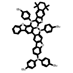 CC(C)(C)c1ccc(N2B3c4sc5cc6c(cc5c4N(c4ccc(C(C)(C)C)cc4)c4c3c(cc3c4oc4ccccc43)-c3cc4c(cc32)oc2cc(N(c3ccc(C(C)(C)C)cc3)c3ccc(C(C)(C)C)cc3)ccc24)C(C)(C)CCC6(C)C)cc1